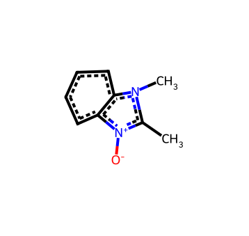 Cc1n(C)c2ccccc2[n+]1[O-]